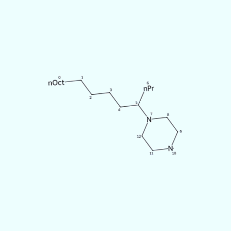 CCCCCCCCCCCCC(CCC)N1CC[N]CC1